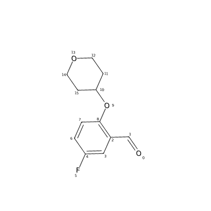 O=Cc1cc(F)ccc1OC1CCOCC1